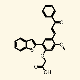 COc1cc(OCC(=O)O)c(-c2cc3ccccc3s2)cc1C=CC(=O)c1ccccc1